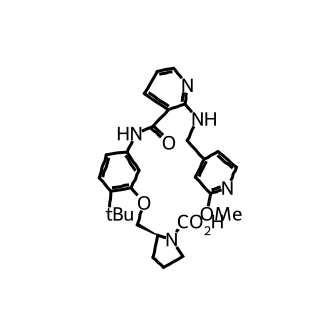 COc1cc(CNc2ncccc2C(=O)Nc2ccc(C(C)(C)C)c(OC[C@@H]3CCCN3C(=O)O)c2)ccn1